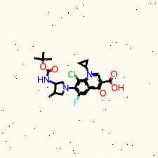 CC1CN(c2c(F)cc3c(=O)c(C(=O)O)cn(C4CC4)c3c2Cl)CC1NC(=O)OC(C)(C)C